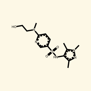 Cc1nn(C)c(C)c1NS(=O)(=O)c1ccc(N(C)CCO)nc1